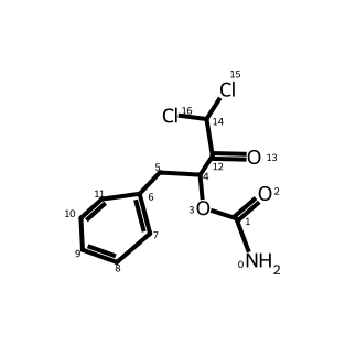 NC(=O)OC(Cc1ccccc1)C(=O)C(Cl)Cl